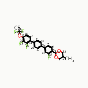 CC1COC(c2ccc(-c3ccc(-c4ccc(OC(F)(F)C(F)(F)F)c(F)c4F)cc3)cc2F)OC1